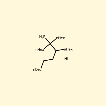 CCCCCCCCCCCCC(CCCCCC)C(P)(CCCCCC)CCCCCC.I